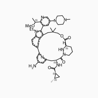 CCn1c(-c2cc(N3CCN(C)CC3)cnc2[C@H](C)OC)c2c3cc(ccc31)-c1cc(N)cc(n1)C[C@H](NC(=O)[C@H]1C[C@@H]1C)C(=O)N1CCC[C@H](N1)C(=O)OCC(C)(C)C2